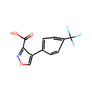 O=C(O)c1nocc1-c1ccc(C(F)(F)F)cc1